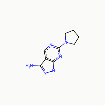 NC1=N[N]c2nc(N3CCCC3)ncc21